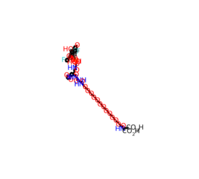 C[C@]12C=CC(=O)C=C1[C@@H](F)C[C@H]1[C@@H]3C[C@H]4O[C@@H](c5cccc(F)c5)O[C@@]4(C(=O)COP(=O)(O)OP(=O)(O)OCCNC(=O)CCc4ccc(N5C(=O)C=CC5=O)cc4C(=O)NCC(=O)NCC(=O)NCCOCCOCCOCCOCCOCCOCCOCCOCCOCCOCCOCCOCCC(=O)N[C@@H](CCC(=O)O)C(=O)O)[C@@]3(C)C[C@H](O)[C@@]12F